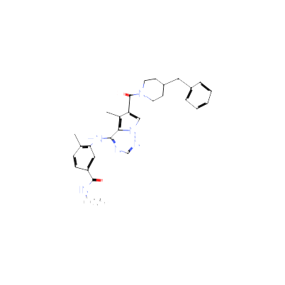 CONC(=O)c1ccc(C)c(Nc2ncnn3cc(C(=O)N4CCC(Cc5ccccc5)CC4)c(C)c23)c1